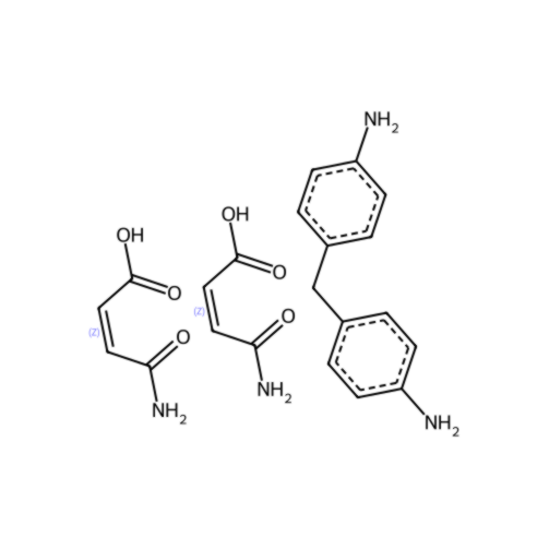 NC(=O)/C=C\C(=O)O.NC(=O)/C=C\C(=O)O.Nc1ccc(Cc2ccc(N)cc2)cc1